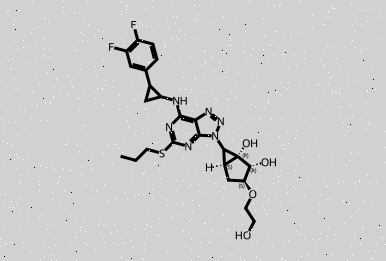 CCCSc1nc(NC2CC2c2ccc(F)c(F)c2)c2nnn(C3[C@@H]4C[C@H](OCCO)[C@@H](O)[C@]34O)c2n1